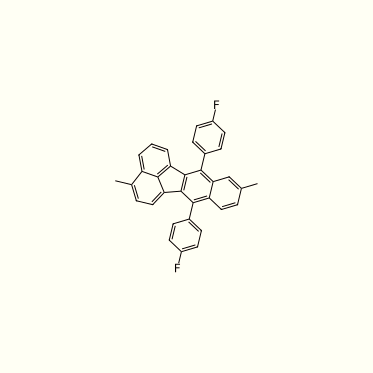 Cc1ccc2c(-c3ccc(F)cc3)c3c(c(-c4ccc(F)cc4)c2c1)-c1cccc2c(C)ccc-3c12